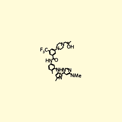 CNc1cc(-n2nc(C)cc2Nc2cc(NC(=O)c3cc(N4CCN(C[C@@H](C)O)CC4)cc(C(F)(F)F)c3)ccc2C)ncn1